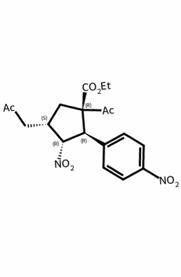 CCOC(=O)[C@]1(C(C)=O)C[C@@H](CC(C)=O)[C@@H]([N+](=O)[O-])[C@@H]1c1ccc([N+](=O)[O-])cc1